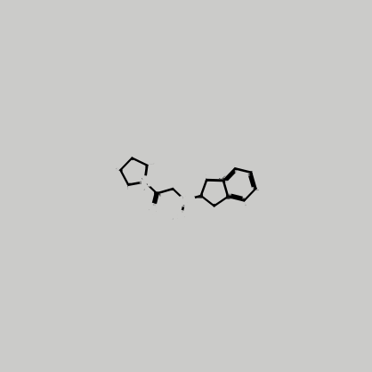 O=C(C[S+]([O-])C1Cc2ccccc2C1)N1CCCC1